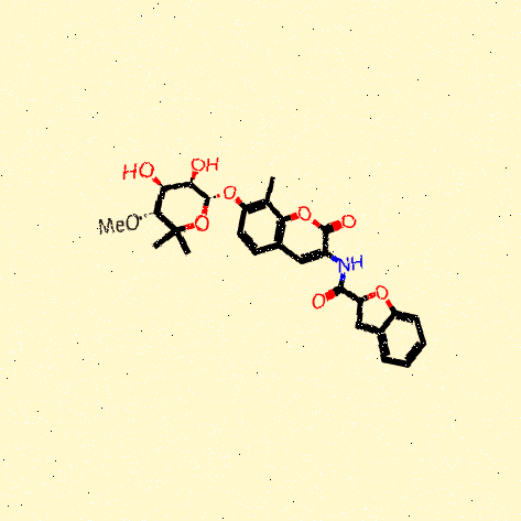 CO[C@@H]1[C@@H](O)[C@@H](O)[C@H](Oc2ccc3cc(NC(=O)C4Cc5ccccc5O4)c(=O)oc3c2C)OC1(C)C